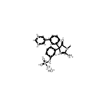 CN1C(=O)C(c2cccc(OS(=O)(=O)C(F)(F)F)c2)(c2cccc(-c3cncnc3)c2)N=C1N.Cl